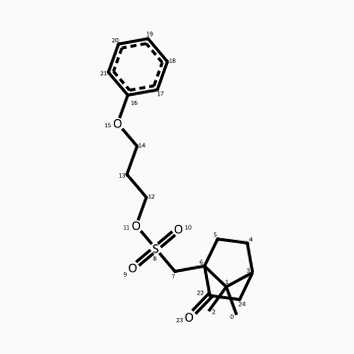 CC1(C)C2CCC1(CS(=O)(=O)OCCCOc1ccccc1)C(=O)C2